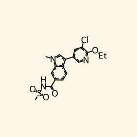 CCOc1ncc(-c2cn(C)c3cc(C(=O)NS(C)(=O)=O)ccc23)cc1Cl